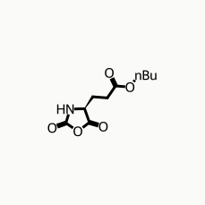 CCCCOC(=O)CC[C@@H]1NC(=O)OC1=O